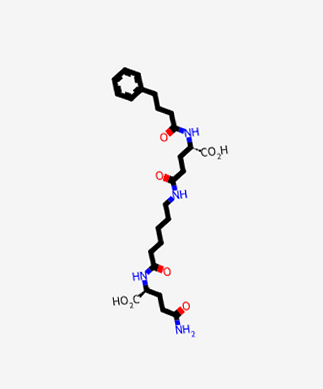 NC(=O)CC[C@H](NC(=O)CCCCCNC(=O)CC[C@H](NC(=O)CCCc1ccccc1)C(=O)O)C(=O)O